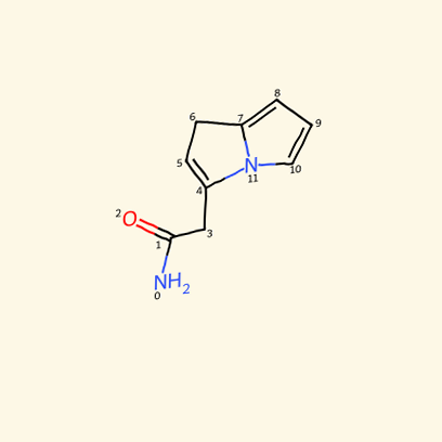 NC(=O)CC1=CCc2cccn21